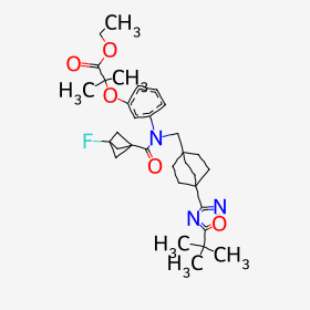 CCOC(=O)C(C)(C)Oc1cccc(N(CC23CCC(c4noc(C(C)(C)C)n4)(CC2)CC3)C(=O)C23CC(F)(C2)C3)c1